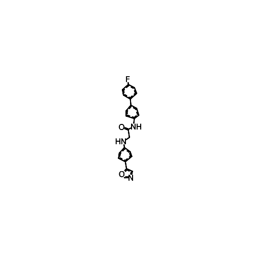 O=C(CNc1ccc(-c2cnco2)cc1)Nc1ccc(-c2ccc(F)cc2)cc1